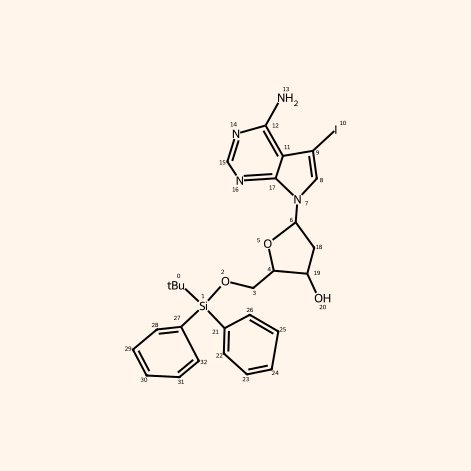 CC(C)(C)[Si](OCC1OC(n2cc(I)c3c(N)ncnc32)CC1O)(c1ccccc1)c1ccccc1